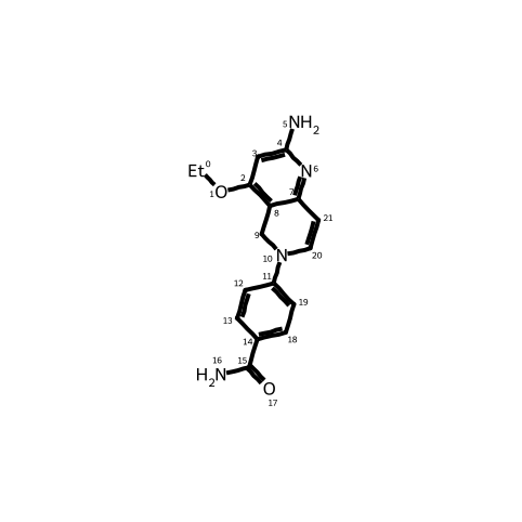 CCOc1cc(N)nc2c1CN(c1ccc(C(N)=O)cc1)C=C2